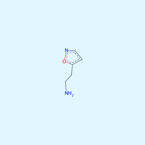 NCCc1c[c]no1